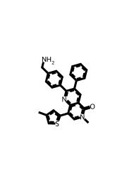 Cc1csc(-c2cn(C)c(=O)c3cc(-c4ccccc4)c(-c4ccc(CN)cc4)nc23)c1